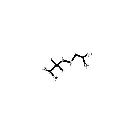 CC(C)(SSCC(O)O)C(O)O